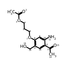 CC(=O)OCCCOc1cc(N)c(C(C)=O)cc1CO